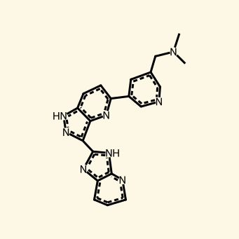 CN(C)Cc1cncc(-c2ccc3[nH]nc(-c4nc5cccnc5[nH]4)c3n2)c1